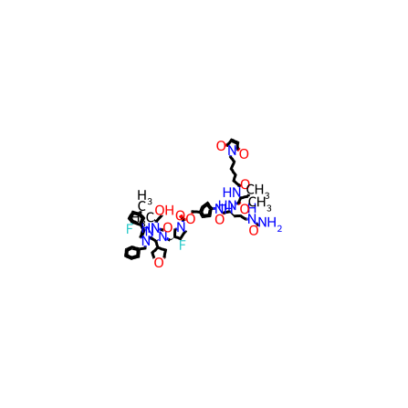 Cc1ccc(F)c(-c2cn(Cc3ccccc3)c([C@@H](C3CCOCC3)N(C[C@@H]3CN(C(=O)OCc4ccc(NC(=O)[C@H](CCCNC(N)=O)NC(=O)[C@@H](NC(=O)CCCCCN5C(=O)C=CC5=O)C(C)C)cc4)C[C@@H]3F)C(=O)N[C@@H](C)CO)n2)c1